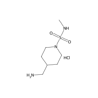 CNS(=O)(=O)N1CCC(CN)CC1.Cl